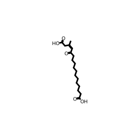 CC(=CC(=O)CCCCCCCCCCCC(=O)O)CC(=O)O